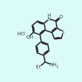 CCC(N)c1ccc(-c2c(O)ccc3[nH]c(=O)c4sccc4c23)cc1.Cl